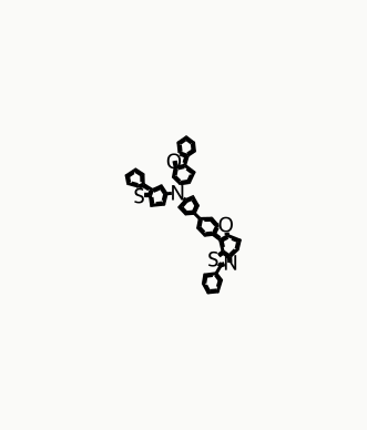 c1ccc(-c2nc3ccc4oc5cc(-c6ccc(N(c7ccc8c(c7)oc7ccccc78)c7ccc8sc9ccccc9c8c7)cc6)ccc5c4c3s2)cc1